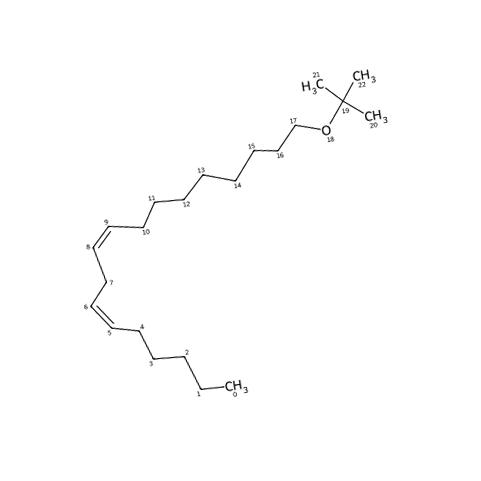 CCCCC/C=C\C/C=C\CCCCCCCCOC(C)(C)C